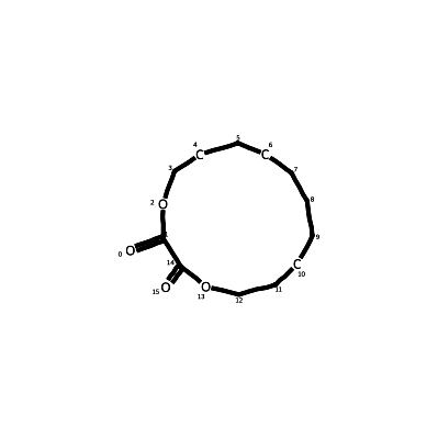 O=C1OCCCCCCCCCCOC1=O